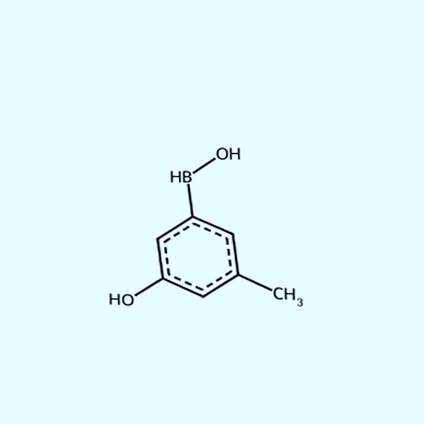 Cc1cc(O)cc(BO)c1